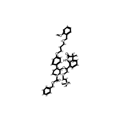 COc1ccccc1COCCCOc1ccc(C2CCN(C(=O)OCc3ccccc3)CC2OC(COCC[Si](C)(C)C)c2cccc3c2NC(=O)C3(C)C)cc1